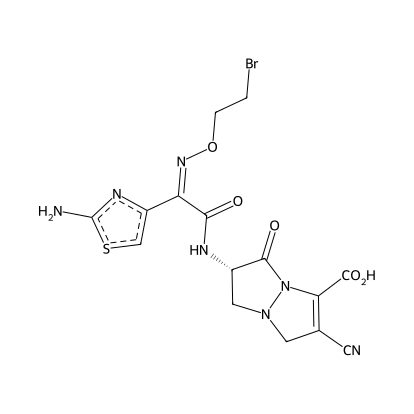 N#CC1=C(C(=O)O)N2C(=O)[C@@H](NC(=O)/C(=N\OCCBr)c3csc(N)n3)CN2C1